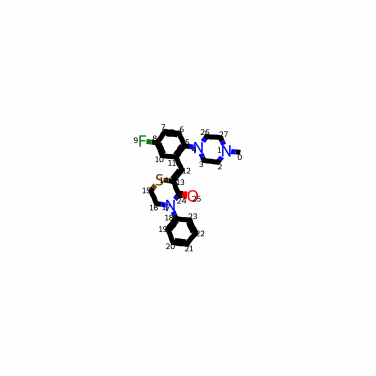 CN1CCN(c2ccc(F)cc2/C=C2\SCCN(c3ccccc3)C2=O)CC1